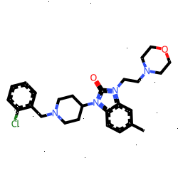 Cc1ccc2c(c1)n(CCN1CCOCC1)c(=O)n2C1CCN(Cc2ccccc2Cl)CC1